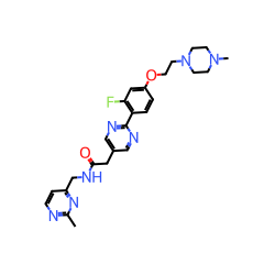 Cc1nccc(CNC(=O)Cc2cnc(-c3ccc(OCCN4CCN(C)CC4)cc3F)nc2)n1